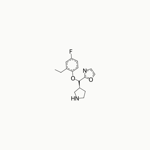 CCc1cc(F)ccc1OC(c1ncco1)[C@H]1CCNC1